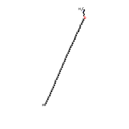 B=BB=BB=BB=BB=BB=BB=BB=BB=BB=BB=BB=BB=BB=BB=BB=BB=BB=BB=BB=BB=BB=BOCC/C=C/C